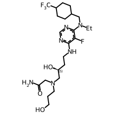 CCN(CC1CCC(C(F)(F)F)CC1)c1ncnc(NCC[C@H](O)CN(CCCO)CC(N)=O)c1F